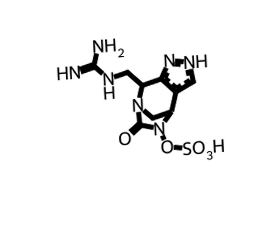 N=C(N)NCC1c2n[nH]cc2C2CN1C(=O)N2OS(=O)(=O)O